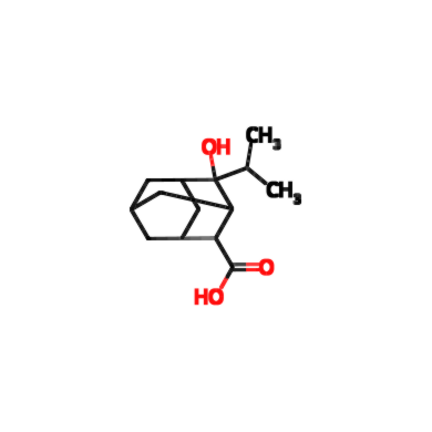 CC(C)C1(O)C2CC3CC(C2)C(C(=O)O)C1C3